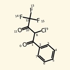 O=C(c1ccccc1)C(Cl)C(=O)C(F)(F)F